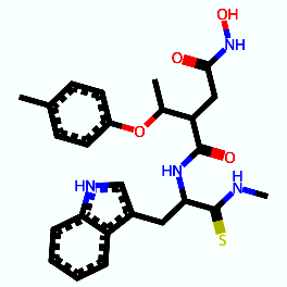 CNC(=S)C(Cc1c[nH]c2ccccc12)NC(=O)C(CC(=O)NO)C(C)Oc1ccc(C)cc1